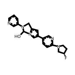 OC1N(c2cccnc2)Cc2cc(-c3ccc(N4CC[C@@H](F)C4)nc3)cn21